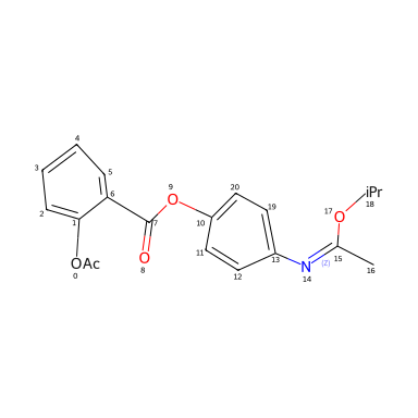 CC(=O)Oc1ccccc1C(=O)Oc1ccc(/N=C(/C)OC(C)C)cc1